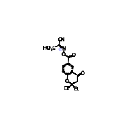 CCC1(CC)CC(=O)c2cc(C(=O)O/N=C(/C#N)C(=O)O)ccc2O1